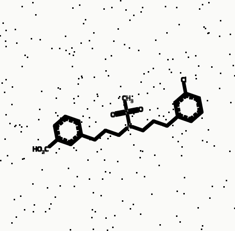 CS(=O)(=O)N(CCCc1cccc(Cl)c1)CCCc1cccc(C(=O)O)c1